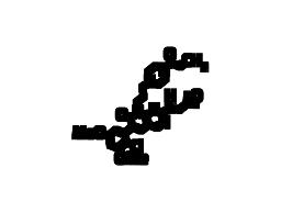 C=CC(=O)N1CCN(CCCn2c(=O)c(-c3cc(OC)cc(OC)c3Cl)cc3cnc(NCC4COC4)nc32)CC1